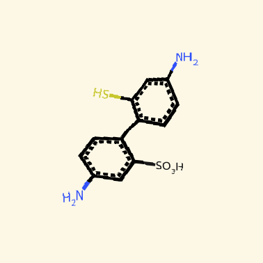 Nc1ccc(-c2ccc(N)cc2S(=O)(=O)O)c(S)c1